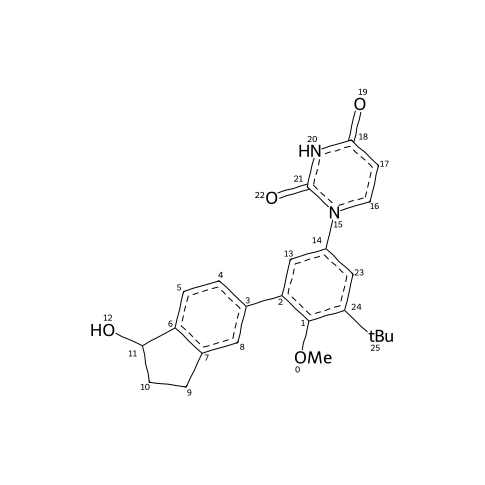 COc1c(-c2ccc3c(c2)CCC3O)cc(-n2ccc(=O)[nH]c2=O)cc1C(C)(C)C